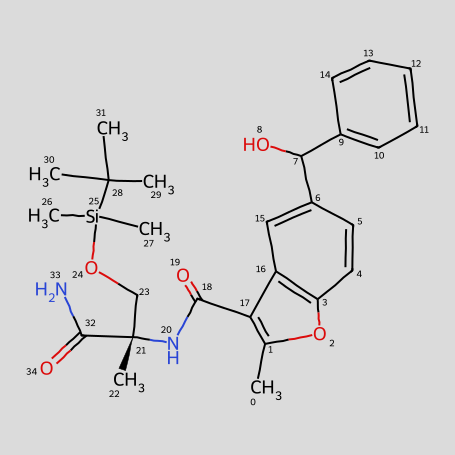 Cc1oc2ccc(C(O)c3ccccc3)cc2c1C(=O)N[C@@](C)(CO[Si](C)(C)C(C)(C)C)C(N)=O